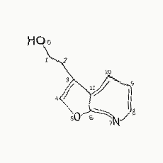 OCCc1coc2ncccc12